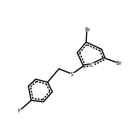 Fc1ccc(CSc2cc(Br)cc(Br)c2)cc1